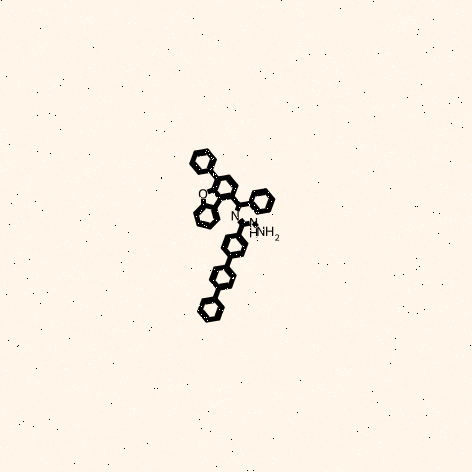 NN/C(=N\C(c1ccccc1)c1ccc(-c2ccccc2)c2oc3ccccc3c12)c1ccc(-c2ccc(-c3ccccc3)cc2)cc1